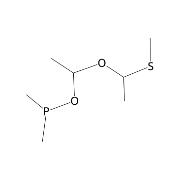 CSC(C)OC(C)OP(C)C